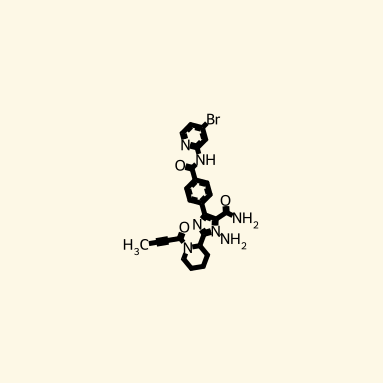 CC#CC(=O)N1CCCCC1c1nc(-c2ccc(C(=O)Nc3cc(Br)ccn3)cc2)c(C(N)=O)n1N